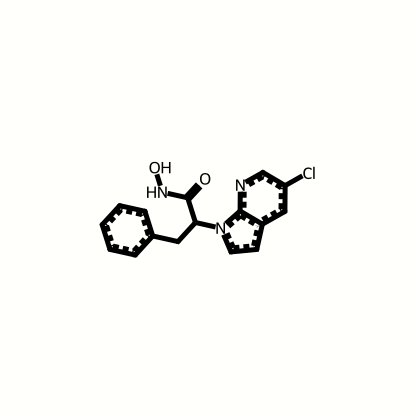 O=C(NO)C(Cc1ccccc1)n1ccc2cc(Cl)cnc21